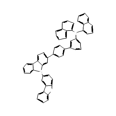 c1cc(-c2ccc(-c3ccc4c5ccccc5n(-c5ccc6sc7ccccc7c6c5)c4c3)cc2)cc(N(c2cccc3ccccc23)c2cccc3ccccc23)c1